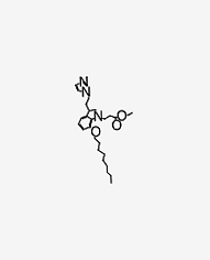 CCCCCCCCCOc1cccc2c1N(CCC(=O)OCC)CC2CCn1ccnc1